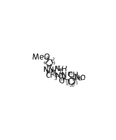 COc1ccc2c(c1)nc(C(F)(F)F)n2-c1cnc(NC(=O)c2cccc(N=O)c2C)cn1